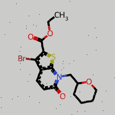 CCOC(=O)c1sc2c(ccc(=O)n2CC2CCCCO2)c1Br